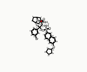 NC1CC2CCC(C1)N2C(=O)[C@H](NS(=O)(=O)c1ccc2cc(OC3CCCC3)ccc2c1)C(F)(F)c1cccc(Br)c1